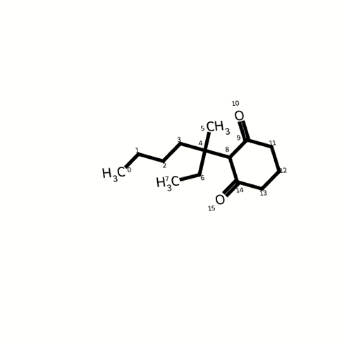 CCCCC(C)(CC)C1C(=O)CCCC1=O